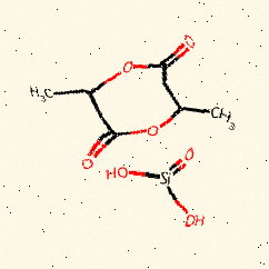 CC1OC(=O)C(C)OC1=O.O=[Si](O)O